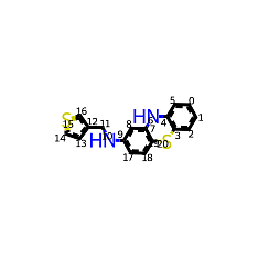 c1ccc2c(c1)Nc1cc(NCc3ccsc3)ccc1S2